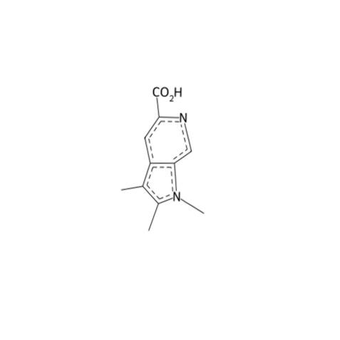 Cc1c(C)n(C)c2cnc(C(=O)O)cc12